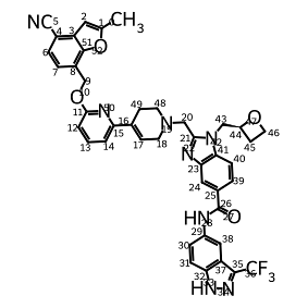 Cc1cc2c(C#N)ccc(COc3cccc(C4=CCN(Cc5nc6cc(C(=O)Nc7ccc8[nH]nc(C(F)(F)F)c8c7)ccc6n5C[C@@H]5CCO5)CC4)n3)c2o1